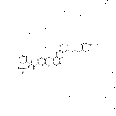 COc1cc2c(Cc3ccc(NS(=O)(=O)c4ccccc4C(F)(F)F)cc3F)ccnc2cc1OCCCN1CCN(C)CC1